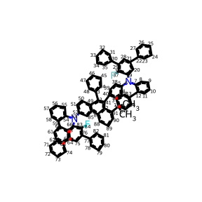 CC1(C)c2cc(N(c3ccccc3-c3ccccc3)c3cc(-c4ccccc4)cc(-c4ccccc4)c3F)ccc2-c2c(-c3ccccc3)c3ccc(N(c4ccccc4-c4ccccc4)c4cc(-c5ccccc5)cc(-c5ccccc5)c4F)cc3c3cccc1c23